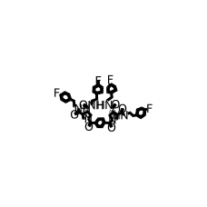 O=C(NCCc1ccc(F)cc1)C1CN(C(=O)c2ccc(C(=O)N3CC(C(=O)NCCc4ccc(F)cc4)[C@H](C(=O)NCCc4ccc(F)cc4)C3)cc2)C[C@H]1C(=O)NCCc1ccc(F)cc1